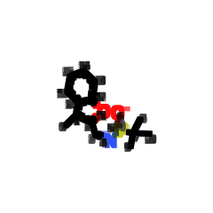 Cc1c(/C=N\[S@@+]([O-])C(C)(C)C)oc2ccccc12